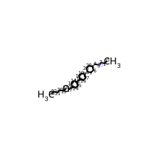 CC/C=C/C[C@H]1CC[C@H](c2ccc(-c3ccc(COCCCCC)cc3)cc2)CC1